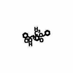 Cc1c(OCc2ccccc2)c(=O)ccn1C[C@@H](O)c1ccccc1Cl